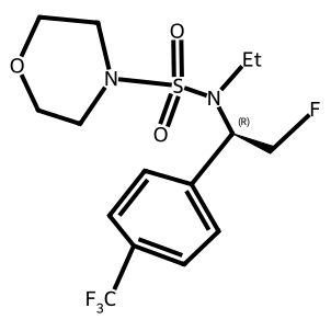 CCN([C@@H](CF)c1ccc(C(F)(F)F)cc1)S(=O)(=O)N1CCOCC1